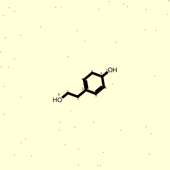 OCCC1=CCC(O)C=C1